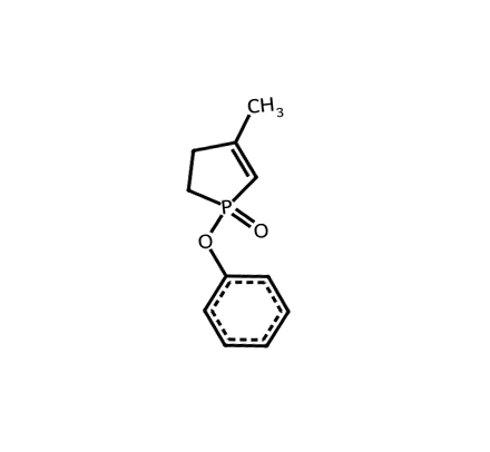 CC1=CP(=O)(Oc2ccccc2)CC1